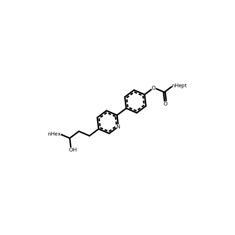 CCCCCCCC(=O)Oc1ccc(-c2ccc(CCC(O)CCCCCC)cn2)cc1